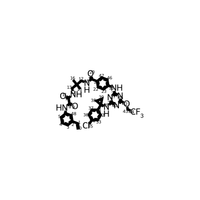 C=Cc1cccc(NC(=O)C(=O)NCC(C)(C)CNC(=O)c2ccc(Nc3nc(NC4(c5ccc(Cl)cc5)CC4)nc(OCC(F)(F)F)n3)cc2)c1